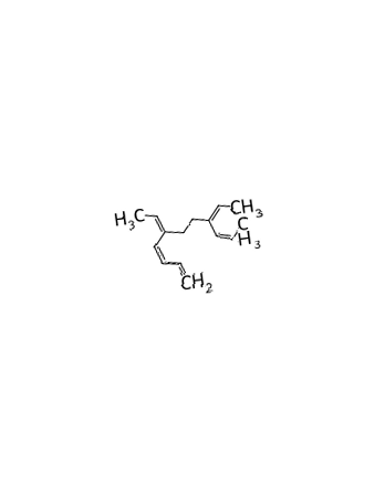 C=C/C=C\C(=C/C)CCC(/C=C\C)=C/C